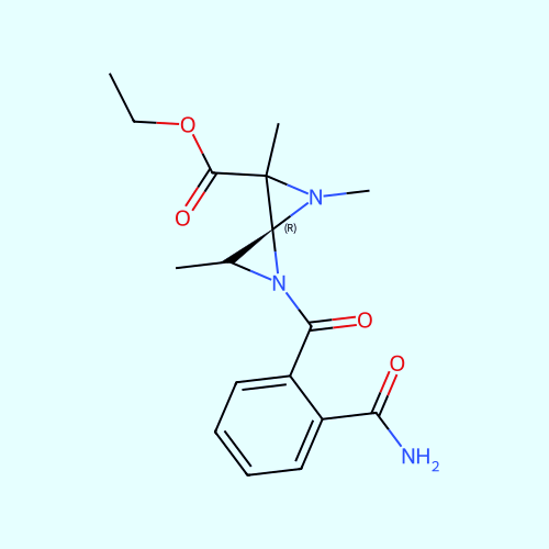 CCOC(=O)C1(C)N(C)[C@@]12C(C)N2C(=O)c1ccccc1C(N)=O